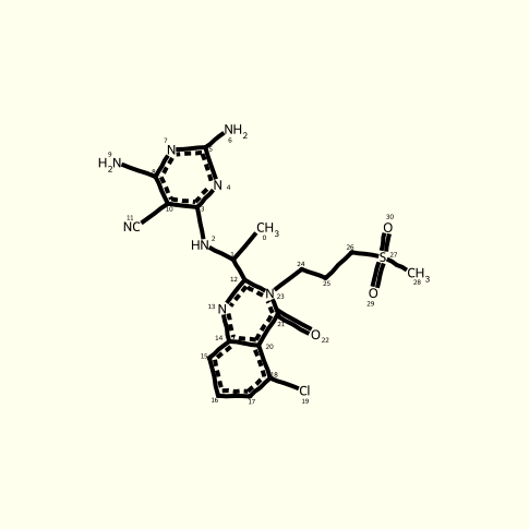 CC(Nc1nc(N)nc(N)c1C#N)c1nc2cccc(Cl)c2c(=O)n1CCCS(C)(=O)=O